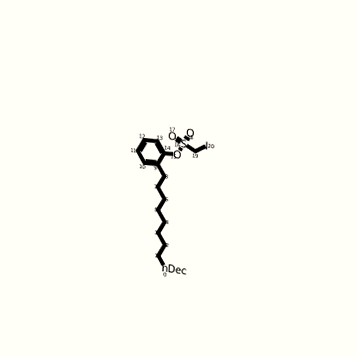 CCCCCCCCCCCCCCCCCCc1ccccc1OS(=O)(=O)CI